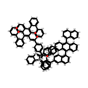 c1ccc(-c2ccccc2-c2c3ccccc3c(-c3ccccc3-c3ccccc3)c3cc(-c4ccc(-c5nc6cccc(-c7ccc8c(-c9c%10ccccc%10c(-c%10cccc%11ccccc%10%11)c%10ccc(-c%11ccc(-c%12nc%13ccccc%13n%12-c%12ccccc%12)cc%11)cc9%10)cccc8c7)c6n5-c5ccccc5)cc4)ccc23)cc1